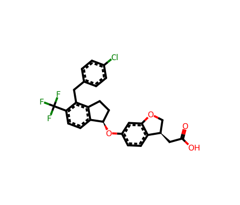 O=C(O)C[C@@H]1COc2cc(O[C@@H]3CCc4c3ccc(C(F)(F)F)c4Cc3ccc(Cl)cc3)ccc21